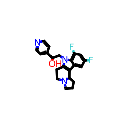 OC(Cn1c2c(c3cc(F)cc(F)c31)C1CCCN1CC2)c1ccncc1